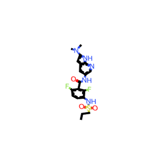 CCCS(=O)(=O)Nc1ccc(F)c(C(=O)Nc2cnc3[nH]c(N(C)C)cc3c2)c1F